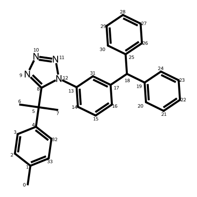 Cc1ccc(C(C)(C)c2nnnn2-c2cccc(C(c3ccccc3)c3ccccc3)c2)cc1